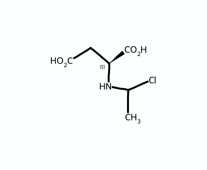 CC(Cl)N[C@@H](CC(=O)O)C(=O)O